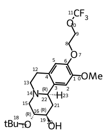 COc1cc2c(cc1OCCOC(F)(F)F)CCN1C[C@@H](OC(C)(C)C)[C@H](O)C[C@H]21